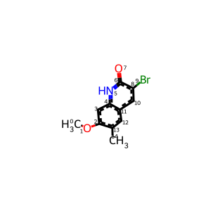 COc1cc2[nH]c(=O)c(Br)cc2cc1C